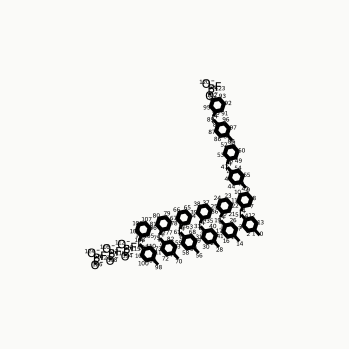 Cc1ccc([I+]c2ccccc2)cc1.Cc1ccc([I+]c2ccccc2)cc1.Cc1ccc([I+]c2ccccc2)cc1.Cc1ccc([I+]c2ccccc2)cc1.Cc1ccc([I+]c2ccccc2)cc1.Cc1ccc([I+]c2ccccc2)cc1.Cc1ccc([I+]c2ccccc2)cc1.Cc1ccc([I+]c2ccccc2)cc1.[O-]B([O-])F.[O-]B([O-])F.[O-]B([O-])F.[O-]B([O-])F